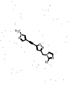 CCc1nccn1Cc1cc(C#Cc2cnn(C)c2)on1